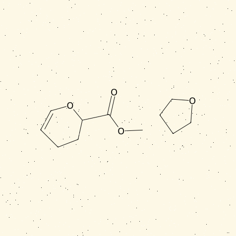 C1CCOC1.COC(=O)C1CCC=CO1